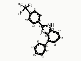 FC(F)(F)c1ccc(-c2nc3c(-c4ccccc4)cccc3[nH]2)cc1